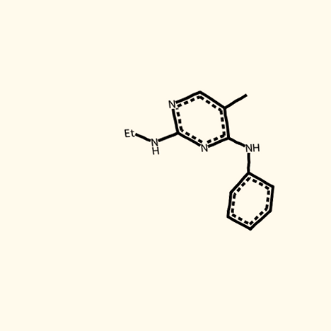 CCNc1ncc(C)c(Nc2ccccc2)n1